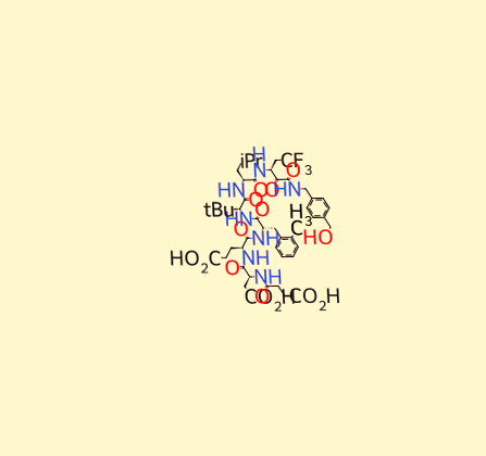 Cc1ccccc1C[C@H](NC(=O)[C@H](CCC(=O)O)NC(=O)[C@H](CC(=O)O)NC(=O)CCC(=O)O)C(=O)N[C@H](C(=O)N[C@@H](CC(C)C)C(=O)N[C@@H](CC(F)(F)F)C(=O)C(=O)NCc1ccc(CO)cc1)C(C)(C)C